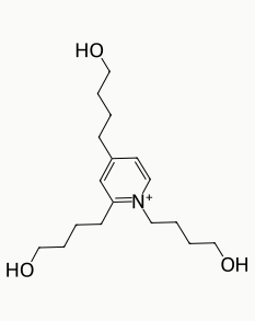 OCCCCc1cc[n+](CCCCO)c(CCCCO)c1